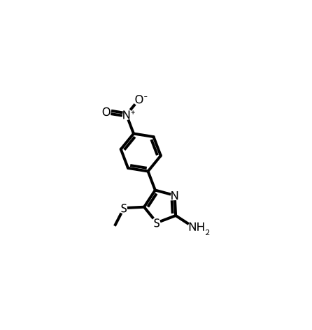 CSc1sc(N)nc1-c1ccc([N+](=O)[O-])cc1